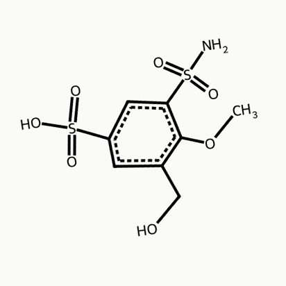 COc1c(CO)cc(S(=O)(=O)O)cc1S(N)(=O)=O